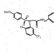 COc1ccc(S(=O)(=O)N(CC(=O)NCc2ccccc2)c2cc(C(F)(F)F)ccc2Cl)cc1